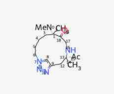 CN[C@@]1(C)CCCCn2cc(nn2)C[C@@](C)(C(C)=O)NCC1=O